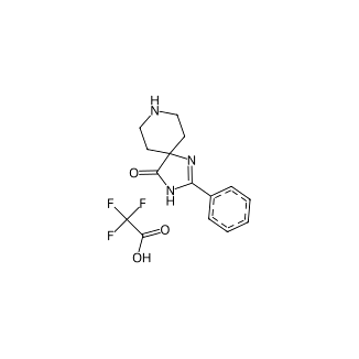 O=C(O)C(F)(F)F.O=C1NC(c2ccccc2)=NC12CCNCC2